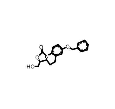 O=C1OC(CO)C2CCc3cc(OCc4ccccc4)ccc3N12